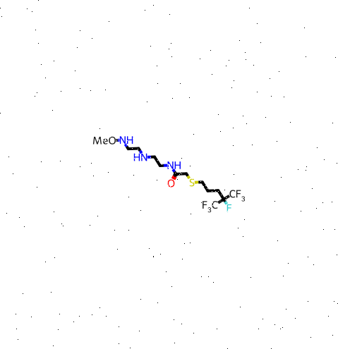 CONCCNCCNC(=O)CSCCCC(F)(C(F)(F)F)C(F)(F)F